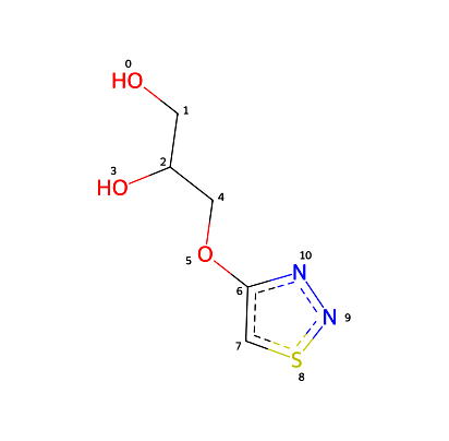 OCC(O)COc1csnn1